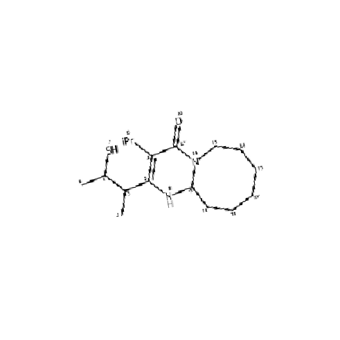 CC(C)C1=C(C(C)C(C)S)NC2CCCCCCN2C1=O